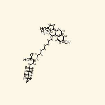 C[C@]12C[C@H](CCCCCCCCC[C@H](CCC(F)(F)C(F)(F)C(F)(F)C(F)(F)F)C(=O)O)C3c4ccc(O)cc4CCC3C1CC[C@@H]2O